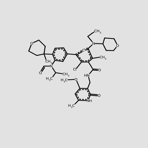 CCN(c1cc(-c2ccc(C3(C)CCOCC3)c(N(C=O)C(C)C)c2)c(Cl)c(C(=O)NCc2c(OC)cc(C)[nH]c2=O)c1C)C1CCOCC1